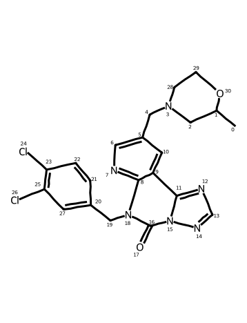 CC1CN(Cc2cnc3c(c2)c2ncnn2c(=O)n3Cc2ccc(Cl)c(Cl)c2)CCO1